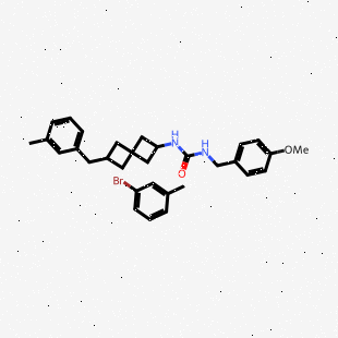 COc1ccc(CNC(=O)NC2CC3(CC(Cc4cccc(C)c4)C3)C2)cc1.Cc1cccc(Br)c1